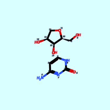 Nc1cc[nH]c(=O)n1.OC[C@H]1OC[C@H](O)[C@@H]1O